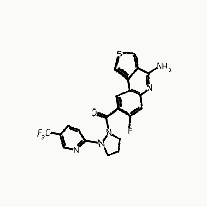 Nc1nc2cc(F)c(C(=O)N3CCCN3c3ccc(C(F)(F)F)cn3)cc2c2cscc12